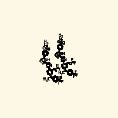 CCS(=O)(=O)c1ccc([C@H](CO)NC(=O)c2cnc(N3CCN([C@@H](C)c4ccc(C(F)(F)F)cc4)CC3COC(F)F)s2)cc1.CCS(=O)(=O)c1ccc([C@H](CO)NC(=O)c2cnc(N3CCN([C@H](C)c4ccc(C(F)(F)F)cc4)CC3COC(F)F)s2)cc1